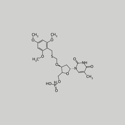 COc1cc(OC)c(CSCO[C@H]2C[C@H](n3cc(C)c(=O)[nH]c3=O)OC2CO[PH](=O)O)c(OC)c1